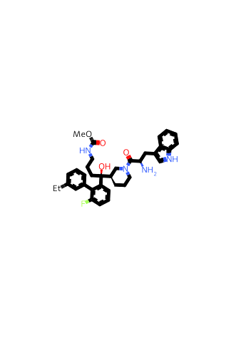 CCc1cccc(-c2c(F)cccc2[C@](O)(CCCNC(=O)OC)[C@@H]2CCCN(C(=O)[C@H](N)Cc3c[nH]c4ccccc34)C2)c1